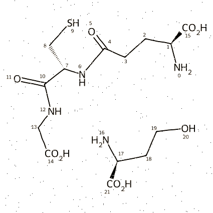 N[C@@H](CCC(=O)N[C@@H](CS)C(=O)NCC(=O)O)C(=O)O.N[C@@H](CCO)C(=O)O